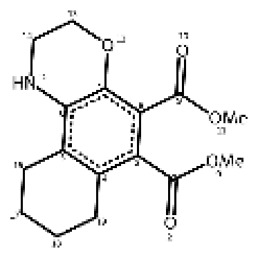 COC(=O)c1c2c(c3c(c1C(=O)OC)OCCN3)CCCC2